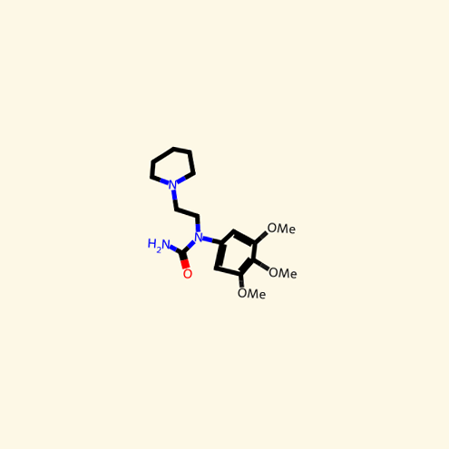 COc1cc(N(CCN2CCCCC2)C(N)=O)cc(OC)c1OC